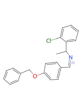 CC(/N=C\c1ccc(OCc2ccccc2)cc1)c1ccccc1Cl